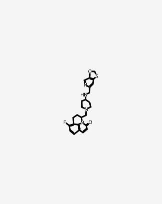 O=c1ccc2ccc(F)c3c2n1C(CN1CCC(NCc2cc4c(cn2)OCS4)CC1)CC3